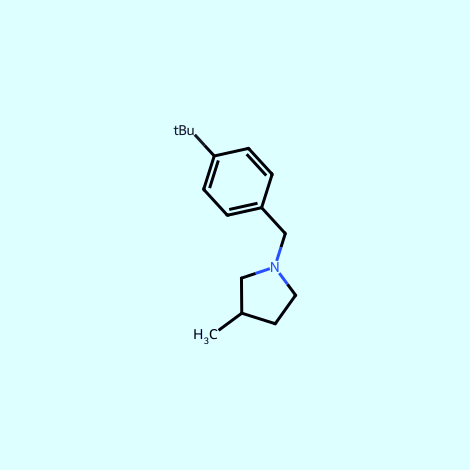 CC1CCN(Cc2ccc(C(C)(C)C)cc2)C1